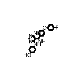 N=C(c1ccc(Oc2ccc(F)cc2)cc1)c1c(N)ncnc1NC1CCC(O)CC1